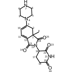 CC12CC(N3CCNCC3)=CC=C1C(=O)N(C1CCC(=O)NC1=O)C2=O